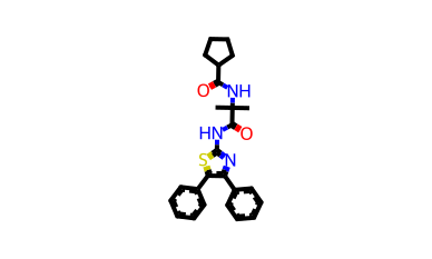 CC(C)(NC(=O)C1CCCC1)C(=O)Nc1nc(-c2ccccc2)c(-c2ccccc2)s1